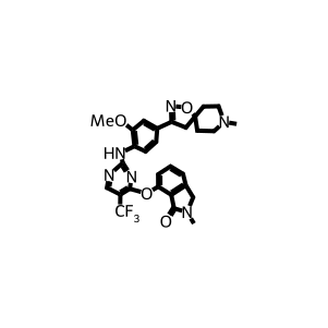 COc1cc(C2=NOC3(CCN(C)CC3)C2)ccc1Nc1ncc(C(F)(F)F)c(Oc2cccc3c2C(=O)N(C)C3)n1